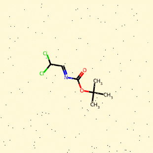 CC(C)(C)OC(=O)N=CC(Cl)Cl